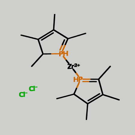 CC1=C(C)C(C)[PH]([Zr+2][PH]2=C(C)C(C)=C(C)C2C)=C1C.[Cl-].[Cl-]